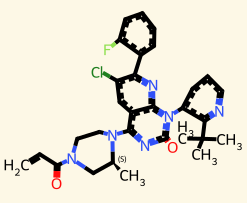 C=CC(=O)N1CCN(c2nc(=O)n(-c3cccnc3C(C)(C)C)c3nc(-c4ccccc4F)c(Cl)cc23)[C@@H](C)C1